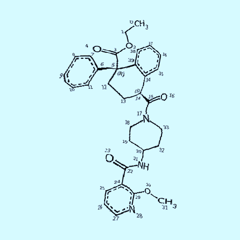 CCOC(=O)[C@@]1(c2ccccc2)CC[C@H](C(=O)N2CCC(NC(=O)c3cccnc3OC)CC2)c2ccccc21